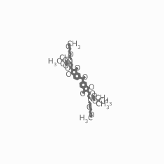 COCCOCCN(CC(=O)C1C(=O)c2ccc(C(=O)c3ccc4c(c3)C(=O)C(C(=O)CN(CCOCCOC)C(=O)OC(C)(C)C)C4=O)cc2C1=O)C(=O)OC(C)(C)C